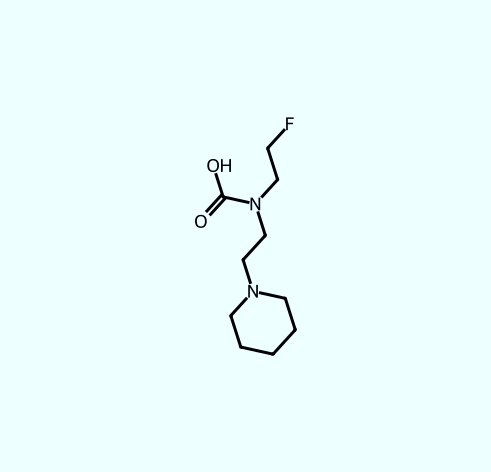 O=C(O)N(CCF)CCN1CCCCC1